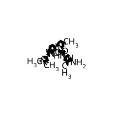 CCc1cc(NC(=O)C(=O)N2C[C@@H](C)CC[C@@H]2c2ccc3sc([C@H]4C[C@@H](C)N(C)C4)nc3c2)cnc1N